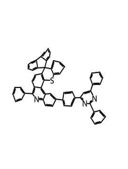 c1ccc(-c2cc(-c3ccc(-c4ccc5nc(-c6ccccc6)c6ccc7c(c6c5c4)Sc4ccccc4C74c5ccccc5-c5ccccc54)cc3)nc(-c3ccccc3)n2)cc1